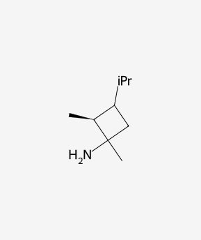 CC(C)C1CC(C)(N)[C@H]1C